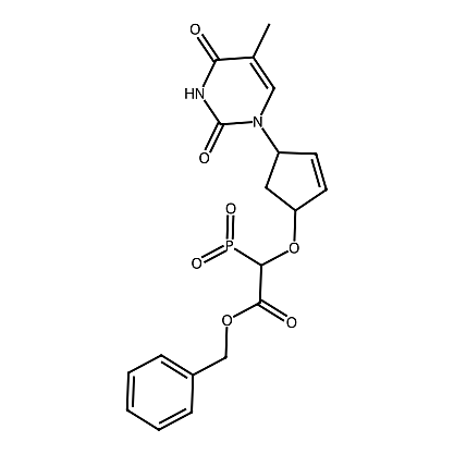 Cc1cn(C2C=CC(OC(C(=O)OCc3ccccc3)P(=O)=O)C2)c(=O)[nH]c1=O